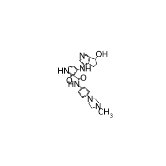 CN1CCN(c2ccc(NC(=O)c3c(Nc4cncc5c4CCC5O)cc[nH]c3=O)cc2)CC1